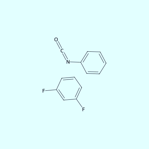 Fc1cccc(F)c1.O=C=Nc1ccccc1